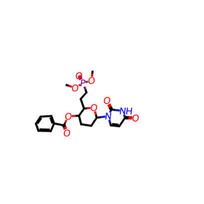 COP(=O)(CCC1OC(n2ccc(=O)[nH]c2=O)CCC1OC(=O)c1ccccc1)OC